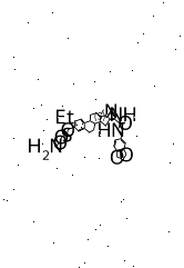 CCc1cc2c(cc1OSOON)CCC1C2CC[C@]2(C)c3n[nH]c(C(=O)NCc4ccc5c(c4)OCO5)c3CC12